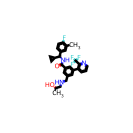 Cc1cc([C@@H](NC(=O)c2cc(CNC[C@@H](C)O)cc(-c3cccnc3C(F)(F)F)c2)C2CC2)ccc1F